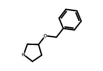 c1ccc(COC2CC[N]C2)cc1